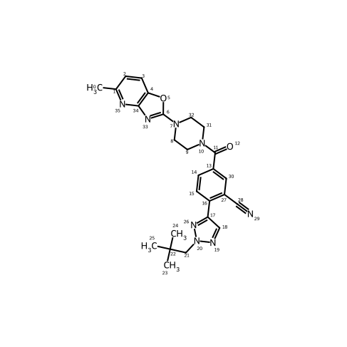 Cc1ccc2oc(N3CCN(C(=O)c4ccc(-c5cnn(CC(C)(C)C)n5)c(C#N)c4)CC3)nc2n1